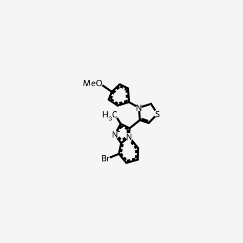 COc1ccc(N2CSC=C2c2c(C)nc3c(Br)cccn23)cc1